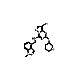 CC(C)c1cnn2c(NCc3cccc4c3cnn4C)nc(OC3CCCNC3)nc12